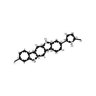 Cc1ccc2c(c1)sc1cc3c(cc12)sc1cc(-c2ccc(C)s2)ccc13